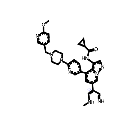 CN/C=C(\C=N)c1cc(-c2ccc(N3CCN(Cc4ccc(OC)nc4)CC3)nc2)c2c(NC(=O)C3CC3)cnn2c1